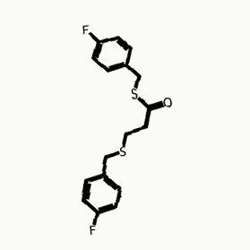 O=C(CCSCc1ccc(F)cc1)SCc1ccc(F)cc1